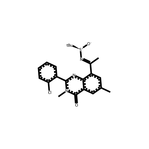 CC(=N[S@+]([O-])C(C)(C)C)c1cc(C)cc2c(=O)n(C)c(-c3ccccc3Cl)nc12